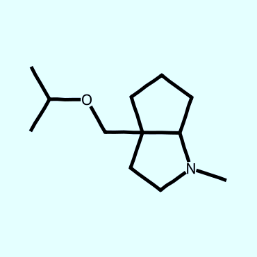 CC(C)OCC12CCCC1N(C)CC2